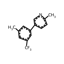 Cc1cc(-c2ccc(C)nc2)cc(C(F)(F)F)c1